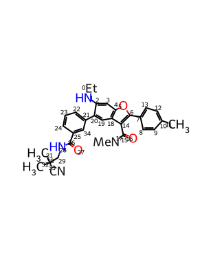 CCNc1cc2oc(-c3ccc(C)cc3)c(C(=O)NC)c2cc1-c1cccc(C(=O)NCC(C)(C)C#N)c1